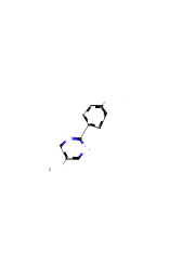 CCCCc1cnc(-c2ccc(C(F)(F)F)cc2)nc1